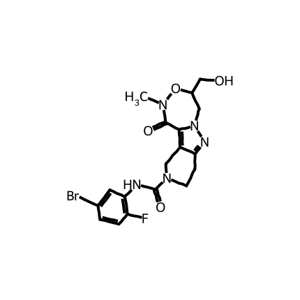 CN1OC(CO)Cn2nc3c(c2C1=O)CN(C(=O)Nc1cc(Br)ccc1F)CC3